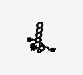 N#Cc1c(-c2ccnn2C2CCCCO2)c(OCCCCBr)cc2cc3cc4ccccc4cc3cc12